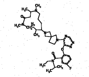 CCN(C(=O)c1cc(F)ccc1Oc1nncnc1N1CCC2(C1)CN(C(CCCN(C)C(C)CC(=O)N(C)C)C(C)C)C2)C(C)C